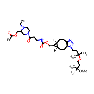 COC(C)(C)CCOC(C)(C)CCn1nnc2c1CC[C@@H]1[C@H](CC2)[C@@H]1COC(=O)NCCC(=O)N1CCN(CC(C)=O)C(COC(=O)C(C)C)C1